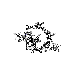 C=C1C[C@@H]2CCC(=O)C/C=C/[C@H](O[Si](C)(C)C(C)(C)C)[C@@H]3O[C@H]4CC[C@H](CC(=O)C[C@H]5[C@H](CC6O[C@@H](CCC1O2)C[C@@H](C)C6=C)OC(C[C@H]1CCC(C)(C)O1)[C@@H]5C)O[C@@H]4[C@H](O[Si](C)(C)C(C)(C)C)[C@@H]3O[Si](C)(C)C(C)(C)C